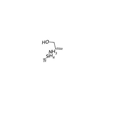 C=CCO.N.[SiH4].[Ti]